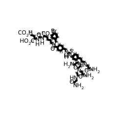 NC(=O)CNCCN(CCN(CC(N)=O)C(CNCC(N)=O)Cc1ccc(NC(=S)NCC2CCC(C(=O)N(CCCC[C@@H](NC(=O)N[C@H](CCC(=O)O)C(=O)O)C(=O)O)Cc3ccc(Br)cc3)CC2)cc1)CC(N)=O